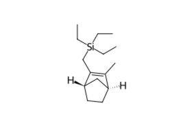 CC[Si](CC)(CC)CC1=C(C)[C@H]2CC[C@H]1C2